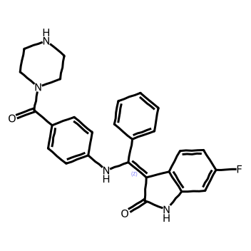 O=C1Nc2cc(F)ccc2/C1=C(/Nc1ccc(C(=O)N2CCNCC2)cc1)c1ccccc1